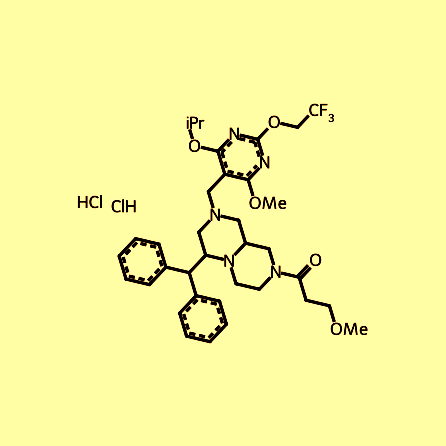 COCCC(=O)N1CCN2C(CN(Cc3c(OC)nc(OCC(F)(F)F)nc3OC(C)C)CC2C(c2ccccc2)c2ccccc2)C1.Cl.Cl